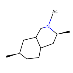 CC(=O)N1CC2C[C@H](C)CCC2C[C@@H]1C